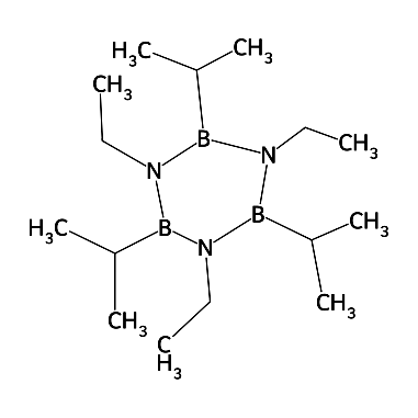 CCN1B(C(C)C)N(CC)B(C(C)C)N(CC)B1C(C)C